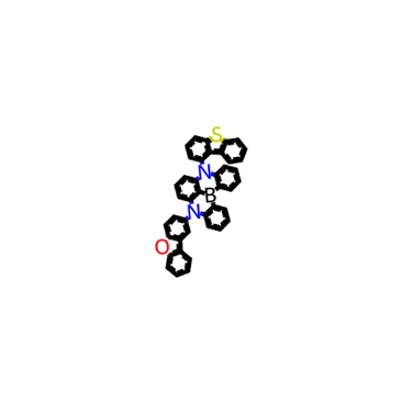 c1ccc2c(c1)B1c3ccccc3N(c3cccc4sc5ccccc5c34)c3cccc(c31)N2c1ccc2oc3ccccc3c2c1